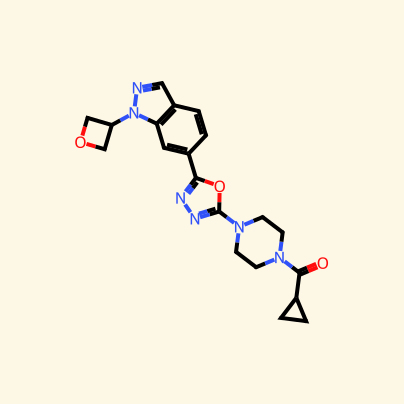 O=C(C1CC1)N1CCN(c2nnc(-c3ccc4cnn(C5COC5)c4c3)o2)CC1